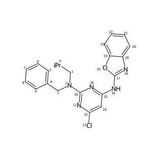 CC(C)CN(Cc1ccccc1)c1nc(Cl)cc(Nc2nc3ccccc3o2)n1